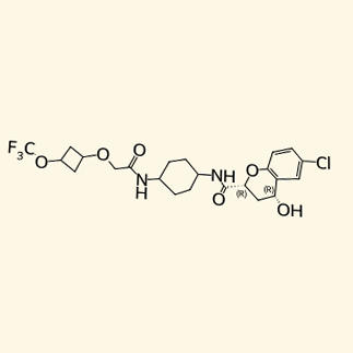 O=C(COC1CC(OC(F)(F)F)C1)NC1CCC(NC(=O)[C@H]2C[C@@H](O)c3cc(Cl)ccc3O2)CC1